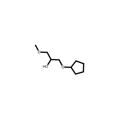 COCC(O)COC1CCCC1